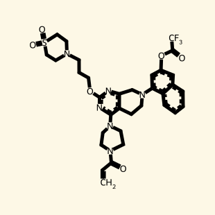 C=CC(=O)N1CCN(c2nc(OCCCN3CCS(=O)(=O)CC3)nc3c2CCN(c2cc(OC(=O)C(F)(F)F)cc4ccccc24)C3)CC1